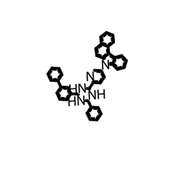 c1ccc(-c2cccc(C3NC(c4ccccc4)NC(c4ccc(-n5c6ccccc6c6c7ccccc7ccc65)cn4)N3)c2)cc1